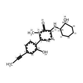 CC#Cc1ccc(-c2nnc(N[C@@H]3CCCC[C@H]3O)c(=O)n2C)c(O)c1